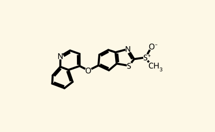 C[S+]([O-])c1nc2ccc(Oc3ccnc4ccccc34)cc2s1